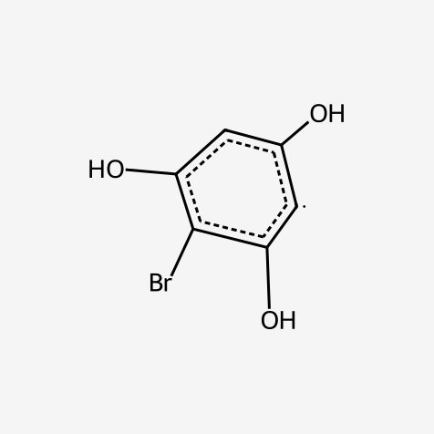 Oc1[c]c(O)c(Br)c(O)c1